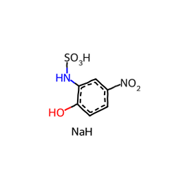 O=[N+]([O-])c1ccc(O)c(NS(=O)(=O)O)c1.[NaH]